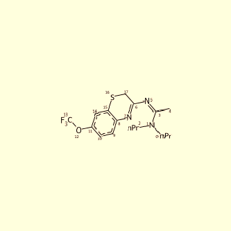 CCCN(CCC)C(C)=NC1=Nc2ccc(OC(F)(F)F)cc2SC1